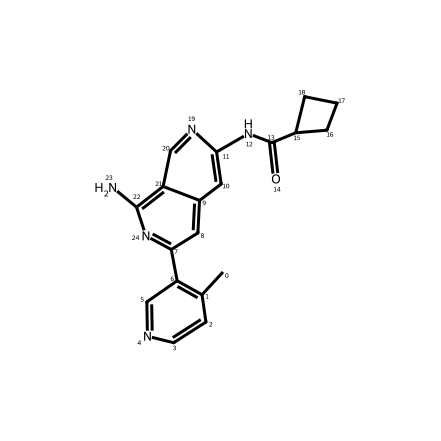 Cc1ccncc1-c1cc2cc(NC(=O)C3CCC3)ncc2c(N)n1